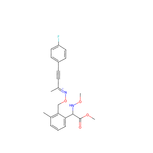 CONC(C(=O)OC)c1cccc(C)c1CO/N=C(\C)C#Cc1ccc(F)cc1